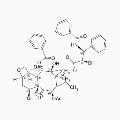 CC(=O)O[C@H]1C(=O)[C@@]2(C)[C@H]([C@H](OC(=O)c3ccccc3)[C@]3(O)C[C@H](OC(=O)[C@H](O)[C@@H](NC(=O)c4ccccc4)c4ccccc4)C(C)C1C3(C)C)[C@]1(OC(C)=O)CO[C@@H]1C[C@@H]2O